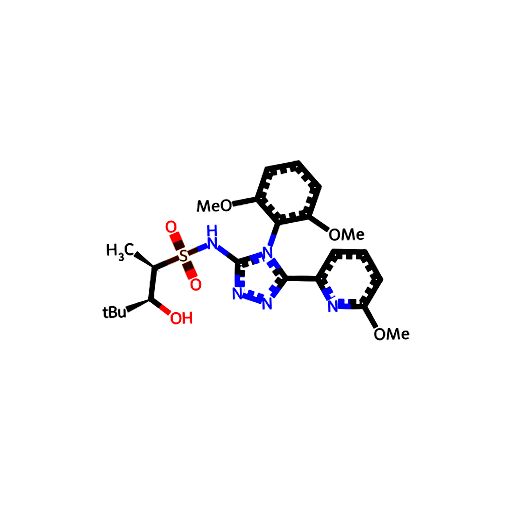 COc1cccc(-c2nnc(NS(=O)(=O)[C@H](C)[C@@H](O)C(C)(C)C)n2-c2c(OC)cccc2OC)n1